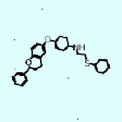 c1ccc(C2CCc3cc(OC4CCC(NCCSC5CCCCC5)CC4)ccc3O2)cc1